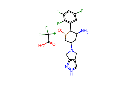 N[C@H]1C[C@@H](N2Cc3c[nH]nc3C2)C[S+]([O-])C1c1cc(F)cc(F)c1F.O=C(O)C(F)(F)F